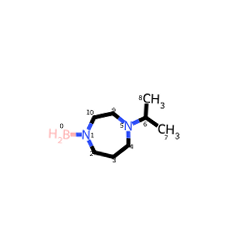 BN1CCCN(C(C)C)CC1